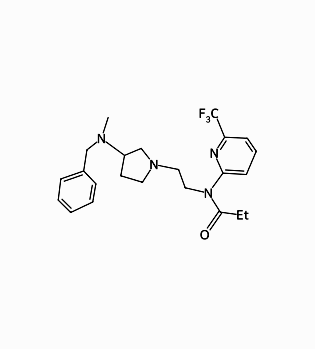 CCC(=O)N(CCN1CCC(N(C)Cc2ccccc2)C1)c1cccc(C(F)(F)F)n1